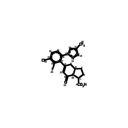 O=C(O)C1CCC2CC(c3c(-n4cc(C(F)(F)F)nn4)ccc(Cl)c3F)=CC(=O)N21